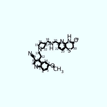 COc1ccc2ncc(C#N)c(CCN3CC[C@@H](CNCc4ccc5c(n4)NC(=O)CS5)C3)c2c1